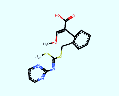 CO/C=C(/C(=O)O)c1ccccc1CS/C(=N/c1ncccn1)SC